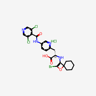 Cl.O=C(Nc1ccc(C[C@H](NC2=C(Br)OC23CCCCC3)C(=O)O)nc1)c1c(Cl)cncc1Cl